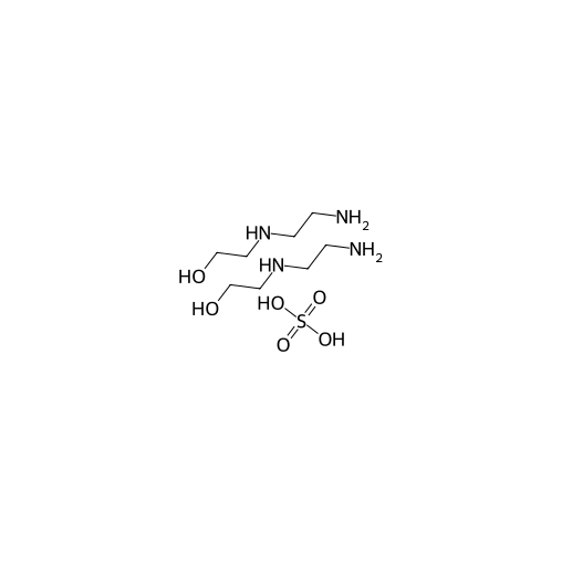 NCCNCCO.NCCNCCO.O=S(=O)(O)O